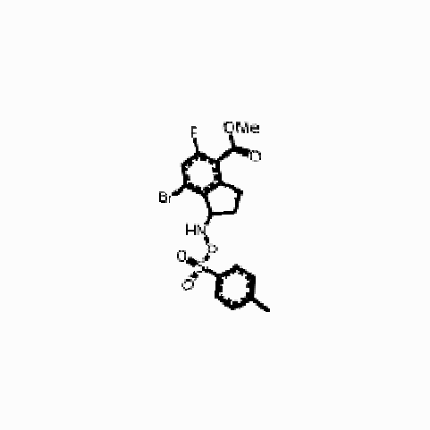 COC(=O)c1c(F)cc(Br)c2c1CCC2NOS(=O)(=O)c1ccc(C)cc1